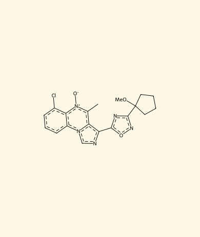 COC1(c2noc(-c3ncn4c3c(C)[n+]([O-])c3c(Cl)cccc34)n2)CCCC1